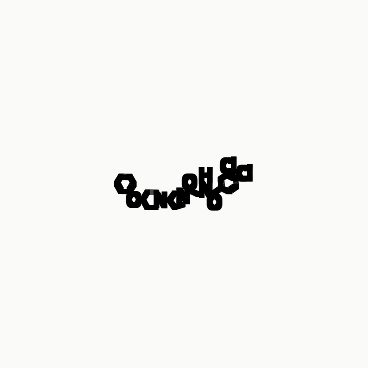 O=C(NCC(=O)N1CCC(N2CCC(Oc3ccccc3)CC2)C1)c1ccc(Cl)c(Cl)c1